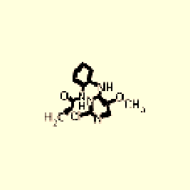 C=CC(=O)Nc1ccccc1Nc1nc(Cl)ncc1OC